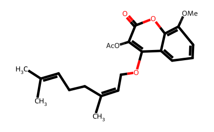 COc1cccc2c(OCC=C(C)CCC=C(C)C)c(OC(C)=O)c(=O)oc12